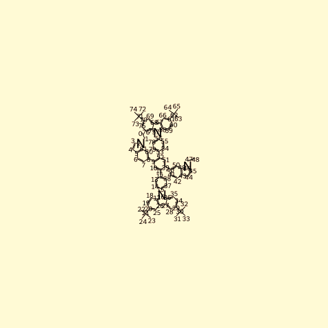 CCn1ccc2ccc(-c3cc(-c4ccc(-n5c6ccc(C(C)(C)C)cc6c6cc(C(C)(C)C)ccc65)cc4)c(-c4ccc5ccn(CC)c5c4)cc3-c3ccc(-n4c5ccc(C(C)(C)C)cc5c5cc(C(C)(C)C)ccc54)cc3)cc21